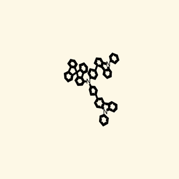 c1ccc(-n2c3ccccc3c3cc(-c4ccc(N(c5ccc(-c6cccc7c6c6ccccc6n7-c6ccccc6)cc5)c5cccc6c5-c5ccccc5C65c6ccccc6-c6ccccc65)cc4)ccc32)cc1